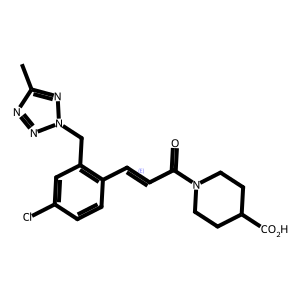 Cc1nnn(Cc2cc(Cl)ccc2/C=C/C(=O)N2CCC(C(=O)O)CC2)n1